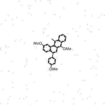 COc1ccc(-c2cc3c(OC)c4ccccc4c(C)c3c3cc(OC)ccc23)cc1